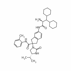 Cc1ccccc1NC(=O)C1(N2C[C@@H](C(C)C)NC2=O)Cc2ccc(NC(=O)[C@@H](N)C(C3CCCCC3)C3CCCCC3)cc2C1